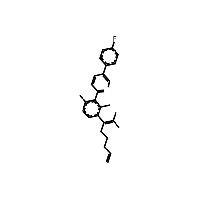 C=CCCCC(=C(C)C)c1ccc(C)c(C(=C)/C=C\C(=C/C)c2ccc(F)cc2)c1C